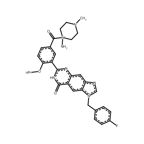 CCCOc1ccc(C(=O)[N+]2(N)CCN(C)CC2)cc1-c1nc2cc3ncn(Cc4ccc(F)cc4)c3cc2c(=O)[nH]1